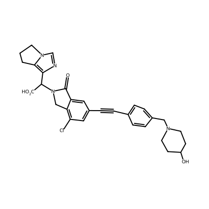 O=C(O)C(c1ncn2c1CCC2)N1Cc2c(Cl)cc(C#Cc3ccc(CN4CCC(O)CC4)cc3)cc2C1=O